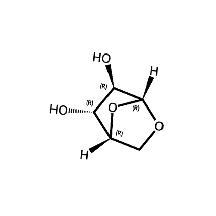 O[C@@H]1[C@@H](O)[C@@H]2OC[C@H]1O2